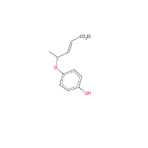 CCOC(=O)/C=C/C(C)Oc1ccc(O)cc1